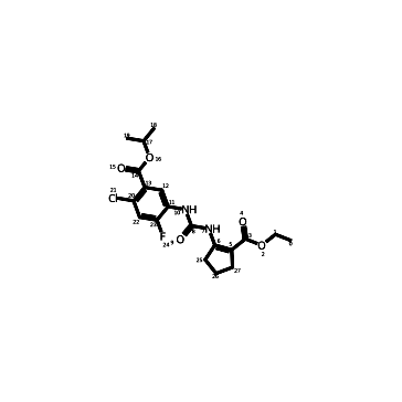 CCOC(=O)C1=C(NC(=O)Nc2cc(C(=O)OC(C)C)c(Cl)cc2F)CCC1